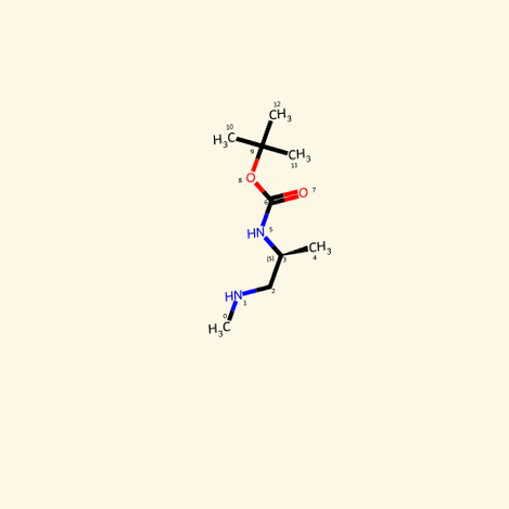 CNC[C@H](C)NC(=O)OC(C)(C)C